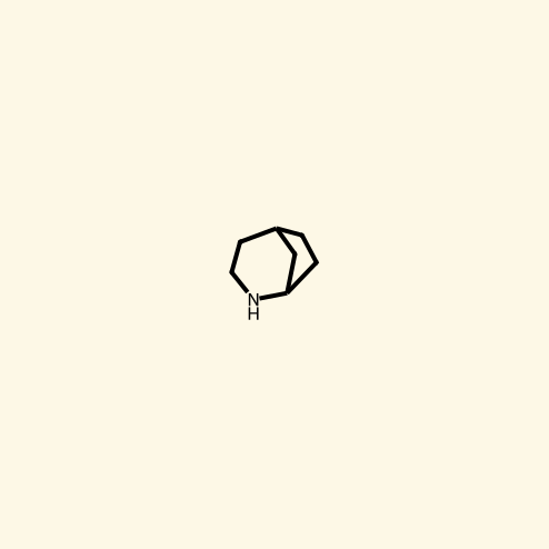 C1CC2CCC(C2)N1